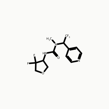 CN(C(=O)NC1COCC1(F)F)C(c1ccncc1)C(F)(F)F